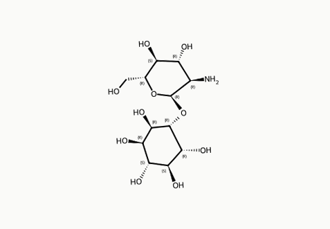 N[C@H]1[C@@H](O[C@H]2[C@H](O)[C@H](O)[C@@H](O)[C@H](O)[C@H]2O)O[C@H](CO)[C@@H](O)[C@@H]1O